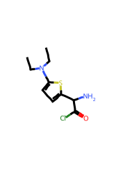 CCN(CC)c1ccc(C(N)C(=O)Cl)s1